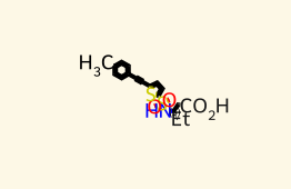 CC[C@@H](CC(=O)O)NS(=O)(=O)c1ccc(C#Cc2ccc(C)cc2)s1